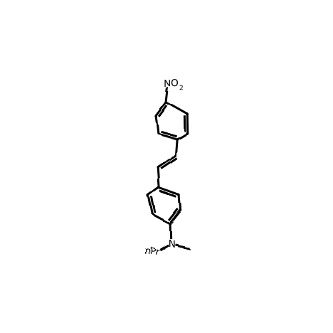 CCCN(C)c1ccc(C=Cc2ccc([N+](=O)[O-])cc2)cc1